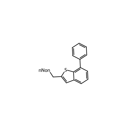 CCCCCCCCCCc1cc2cccc(-c3ccccc3)c2s1